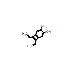 C=CC1=C(C=C)c2cc(O)c(N)cc21